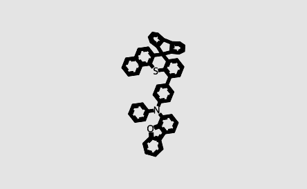 c1ccc(N(c2ccc(-c3cccc4c3Sc3c(ccc5ccccc35)C43c4ccccc4-c4ccccc43)cc2)c2cccc3c2oc2ccccc23)cc1